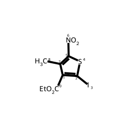 CCOC(=O)c1c(I)sc([N+](=O)[O-])c1C